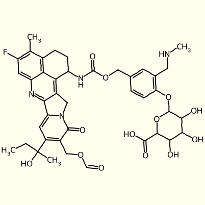 CCC(C)(O)c1cc2n(c(=O)c1COC=O)Cc1c-2nc2cc(F)c(C)c3c2c1C(NC(=O)OCc1ccc(OC2OC(C(=O)O)C(O)C(O)C2O)c(CNC)c1)CC3